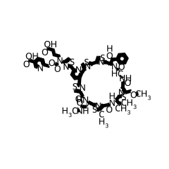 CNC(=O)C[C@@H]1NC(=O)c2csc(n2)-c2ccc(-c3nc(N(CCCC(=O)O)C(=O)OCc4ccc(C(=O)O)cn4)cs3)nc2-c2csc(n2)-c2csc(n2)[C@H]([C@@H](O)c2ccccc2)NC(=O)CNC(=O)c2nc(sc2COC)C(C(C)C)NC(=O)c2nc1sc2C